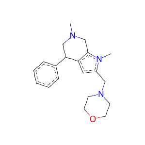 CN1Cc2c(cc(CN3CCOCC3)n2C)C(c2ccccc2)C1